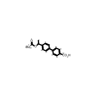 CC[C@H](C)C(=O)OC(C)c1ccc(-c2ccc(C(=O)O)cc2)cc1